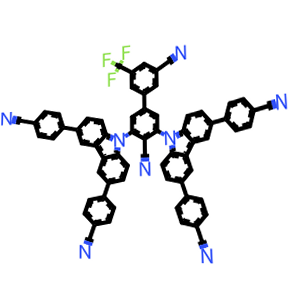 N#Cc1ccc(-c2ccc3c(c2)c2cc(-c4ccc(C#N)cc4)ccc2n3-c2cc(-c3cc(C#N)cc(C(F)(F)F)c3)cc(-n3c4ccc(-c5ccc(C#N)cc5)cc4c4cc(-c5ccc(C#N)cc5)ccc43)c2C#N)cc1